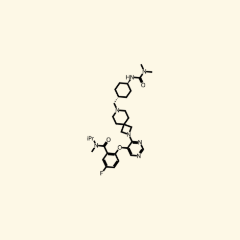 CC(C)N(C)C(=O)c1cc(F)ccc1Oc1cncnc1N1CC2(CCN(C[C@H]3CC[C@H](NC(=O)N(C)C)CC3)CC2)C1